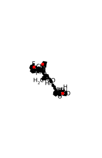 C#Cc1c(F)ccc2cccc(-c3ncc4c(N5CC6CCC(C5)N6)nc(OC[C@@]56CC[C@@H](COC(=O)NCCCCNc7cccc8c7C(=O)N(C7CCC(=O)NC7=O)C8=O)N5CC(=C)C6)nc4c3F)c12